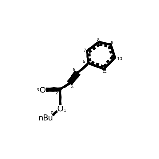 CCCCOC(=O)C#Cc1ccccc1